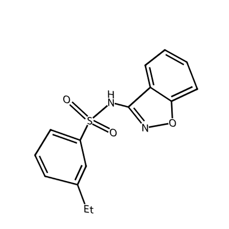 CCc1cccc(S(=O)(=O)Nc2noc3ccccc23)c1